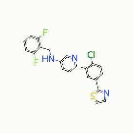 Fc1cccc(F)c1CNc1ccc(-c2cc(-c3nccs3)ccc2Cl)nc1